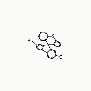 Clc1ccc2c(c1)C1(c3ccccc3Sc3ccccc31)c1cc(Br)ccc1-2